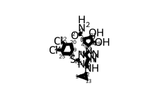 NC(=O)[C@H]1C[C@@H](n2nnc3c(NC4CC4)nc(Sc4ccc(Cl)c(Cl)c4)nc32)[C@H](O)[C@@H]1O